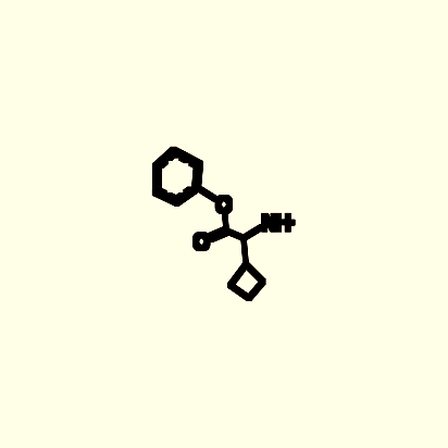 [NH]C(C(=O)Oc1ccccc1)C1CCC1